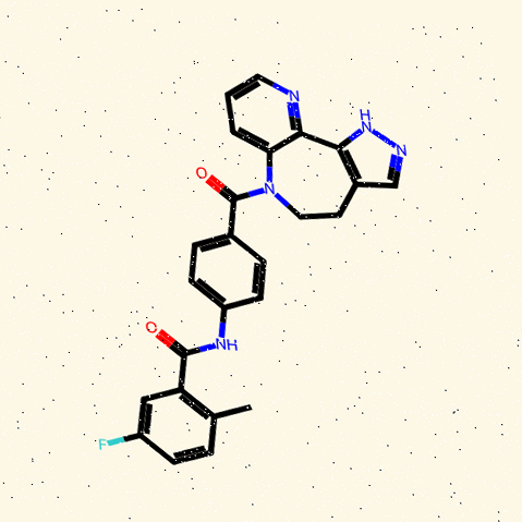 Cc1ccc(F)cc1C(=O)Nc1ccc(C(=O)N2CCc3cn[nH]c3-c3ncccc32)cc1